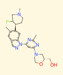 Cc1nc(N2CCO[C@@H](CO)C2)cc(-n2ncc3cc(C)c([C@@H]4CCN(C)C[C@@H]4F)cc32)n1